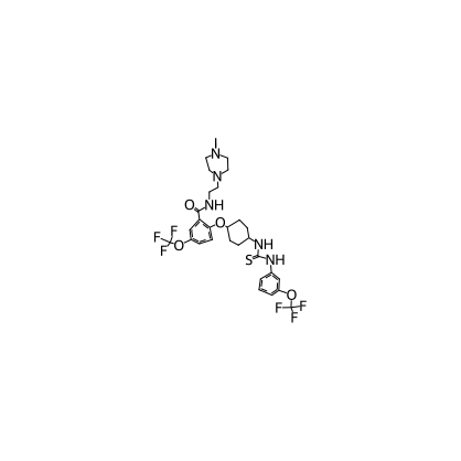 O=C(NCCN1CCN(I)CC1)c1cc(OC(F)(F)F)ccc1OC1CCC(NC(=S)Nc2cccc(OC(F)(F)F)c2)CC1